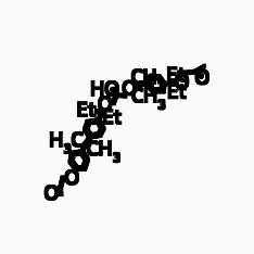 CCC(CC)(OCC(O)COC(C)(C)c1ccc(C(CC)(CC)OCC2CO2)cc1)c1ccc(C(C)(C)c2ccc(OCC3CO3)cc2)cc1